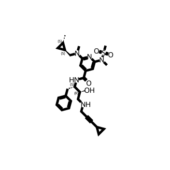 C[C@H]1C[C@@H]1CN(C)c1cc(C(=O)N[C@@H](Cc2ccccc2)[C@H](O)CNCC#CC2CC2)cc(N(C)S(C)(=O)=O)n1